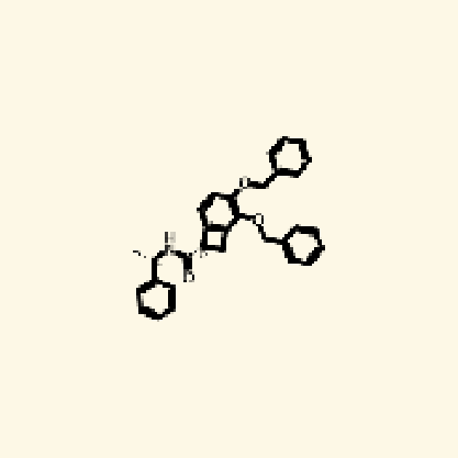 C[C@H](NC(=O)[C@H]1Cc2c1ccc(OCc1ccccc1)c2OCc1ccccc1)c1ccccc1